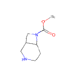 CC(C)(C)OC(=O)N1CC2CNCCC21